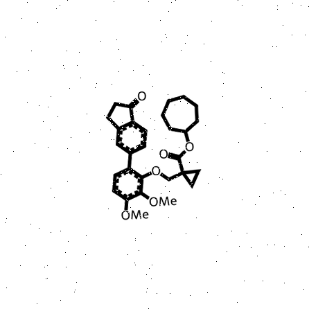 COc1ccc(-c2ccc3c(c2)CCC3=O)c(OCC2(C(=O)OC3CCCCCC3)CC2)c1OC